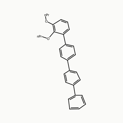 CCCOc1cccc(-c2ccc(-c3ccc(-c4ccccc4)cc3)cc2)c1OCCC